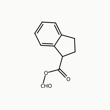 O=COC(=O)C1CCc2ccccc21